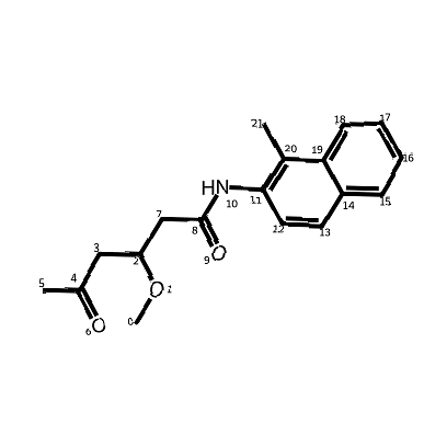 COC(CC(C)=O)CC(=O)Nc1ccc2ccccc2c1C